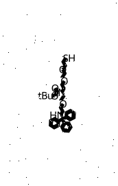 CC(C)(C)OC(=O)N(CCOCCNC(c1ccccc1)(c1ccccc1)c1ccccc1)CCOCCOCCS